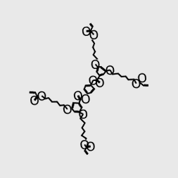 C=CC(=O)OCCCCCCOc1cc(OCCCCCCOC(=O)C=C)cc(C(=O)Oc2ccc(OC(=O)c3cc(OCCCCCCOC(=O)C=C)cc(OCCCCCCOC(=O)C=C)c3)cc2)c1